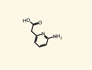 Nc1cccc(CC(=O)O)n1